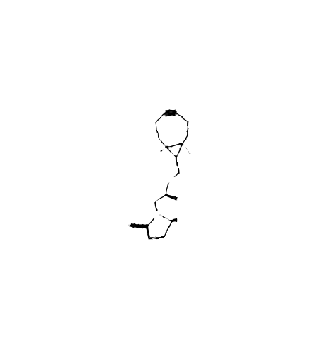 O=C(CN1C(=O)CCC1=O)OCC1[C@H]2CCC#CCC[C@@H]12